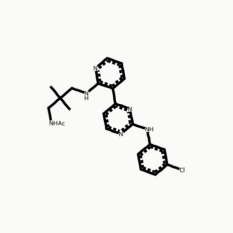 CC(=O)NCC(C)(C)CNc1ncccc1-c1ccnc(Nc2cccc(Cl)c2)n1